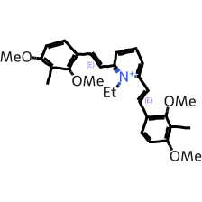 CC[n+]1c(/C=C/c2ccc(OC)c(C)c2OC)cccc1/C=C/c1ccc(OC)c(C)c1OC